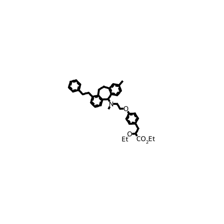 CCOC(=O)C(Cc1ccc(OCCN(C)C2c3ccc(C)cc3CCc3c(CCc4ccccc4)cccc32)cc1)OCC